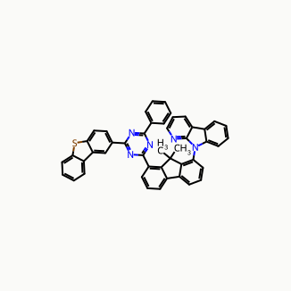 CC1(C)c2c(-c3nc(-c4ccccc4)nc(-c4ccc5sc6ccccc6c5c4)n3)cccc2-c2cccc(-n3c4ccccc4c4cccnc43)c21